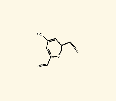 O=CC1=CC(O)=CC(C=O)O1